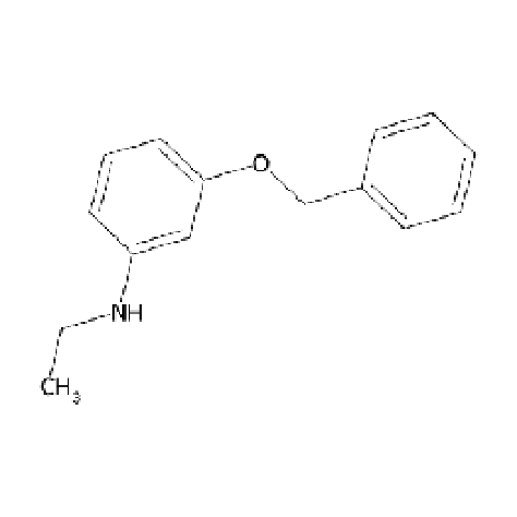 CCNc1cccc(OCc2ccccc2)c1